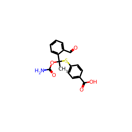 CC(OC(N)=O)(Sc1ccc(C(=O)O)cc1)c1ccccc1C=O